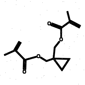 C=C(C)C(=O)OCC1(COC(=O)C(=C)C)CC1